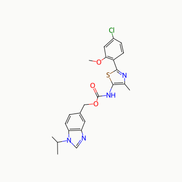 COc1cc(Cl)ccc1-c1nc(C)c(NC(=O)OCc2ccc3c(c2)ncn3C(C)C)s1